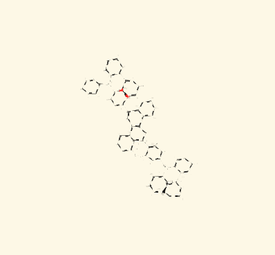 c1ccc(-c2ccccc2N(c2ccccc2)c2ccc(-c3cc4c5cccc6c5c(cc4c4ccccc34)-c3ccc(N(c4ccccc4)c4ccccc4-c4ccccc4)cc3O6)cc2)cc1